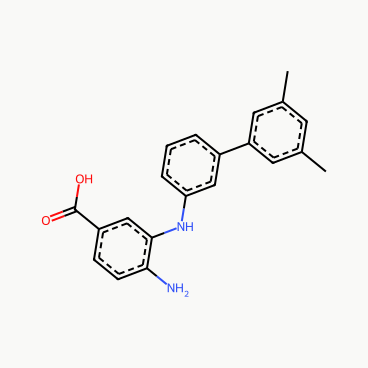 Cc1cc(C)cc(-c2cccc(Nc3cc(C(=O)O)ccc3N)c2)c1